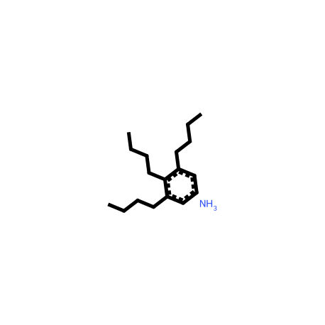 CCCCc1cccc(CCCC)c1CCCC.N